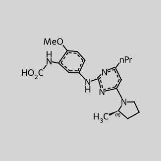 CCCc1cc(N2CCC[C@H]2C)nc(Nc2ccc(OC)c(NC(=O)O)c2)n1